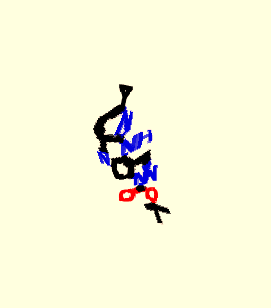 CC(C)(C)OC(=O)n1ncc2c(Nc3nc(C4CC4)ccc3C#N)cccc21